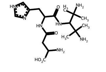 CC(C)(N)C(NC(=O)C(Cc1c[nH]cn1)NC(=O)CC(N)C(=O)O)C(C)(C)N